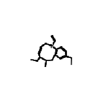 C=CN1C/C=C\C(CC)C(C)Cc2cc(CC)ccc21